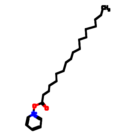 CCCCCCCCCCCCCCCCCC(=O)O[n+]1ccccc1